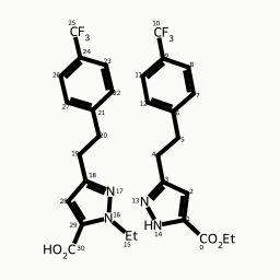 CCOC(=O)c1cc(CCc2ccc(C(F)(F)F)cc2)n[nH]1.CCn1nc(CCc2ccc(C(F)(F)F)cc2)cc1C(=O)O